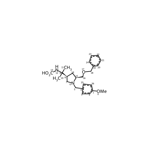 COc1ccc(CN2C[C@@H](C(C)(C)NC(=O)O)C[C@H]2COCc2ccccc2)cc1